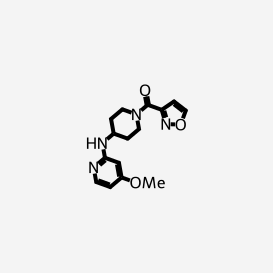 COc1ccnc(NC2CCN(C(=O)c3ccon3)CC2)c1